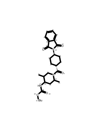 CC1CN(C(=O)[C@H]2CC[C@H](N3C(=O)c4ccccc4C3=O)CC2)C(C)CC1NC(=O)OC(C)(C)C